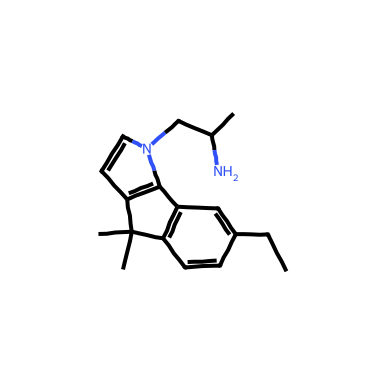 CCc1ccc2c(c1)-c1c(ccn1CC(C)N)C2(C)C